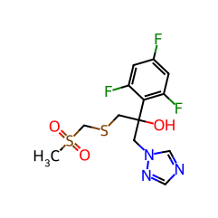 CS(=O)(=O)CSCC(O)(Cn1cncn1)c1c(F)cc(F)cc1F